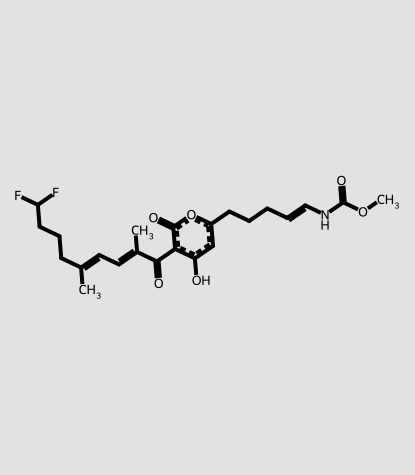 COC(=O)N/C=C/CCCc1cc(O)c(C(=O)/C(C)=C/C=C(\C)CCCC(F)F)c(=O)o1